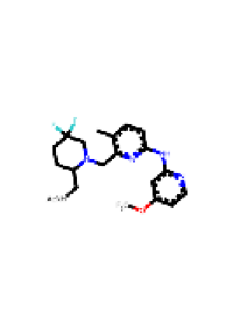 CC(=O)NCC1CCC(F)(F)CN1Cc1nc(Nc2cc(OC(F)(F)F)ccn2)ccc1C